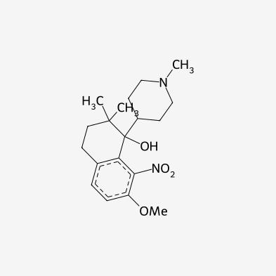 COc1ccc2c(c1[N+](=O)[O-])C(O)(C1CCN(C)CC1)C(C)(C)CC2